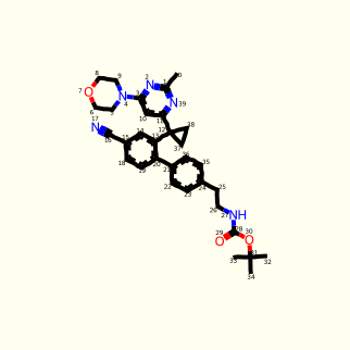 Cc1nc(N2CCOCC2)cc(C2(c3cc(C#N)ccc3-c3ccc(CCNC(=O)OC(C)(C)C)cc3)CC2)n1